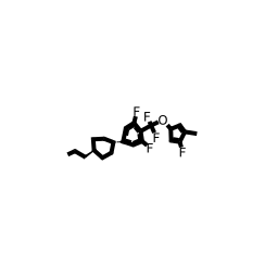 CCC[C@H]1CC[C@H](c2cc(F)c(C(F)(F)OC3C=C(C)C(F)=C3)c(F)c2)CC1